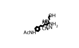 CC(=O)Nc1ccc(/C=C(\C#N)C(=N)/C(C#N)=C(/N)NCCO)cc1